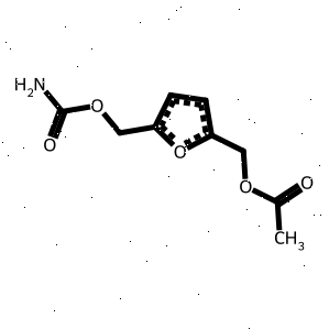 CC(=O)OCc1ccc(COC(N)=O)o1